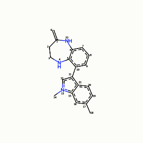 C=C1CCNc2c(cccc2-c2cn(C)c3cc(C)ccc23)N1